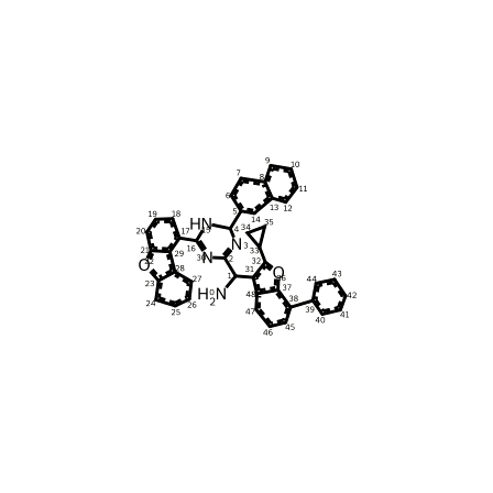 NC(C1=NC(c2ccc3ccccc3c2)NC(c2cccc3oc4ccccc4c23)=N1)c1c(C2CC2)oc2c(-c3ccccc3)cccc12